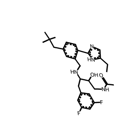 CCc1cnc(-c2ccc(CC(C)(C)C)cc2CNC(Cc2cc(F)cc(F)c2)C(O)CNC(C)=O)[nH]1